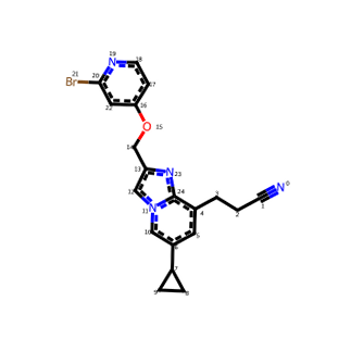 N#CCCc1cc(C2CC2)cn2cc(COc3ccnc(Br)c3)nc12